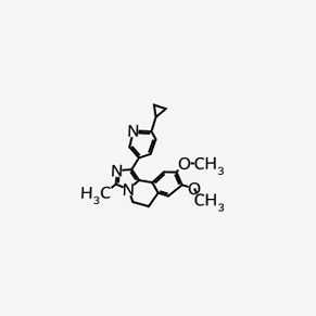 COc1cc2c(cc1OC)-c1c(-c3ccc(C4CC4)nc3)nc(C)n1CC2